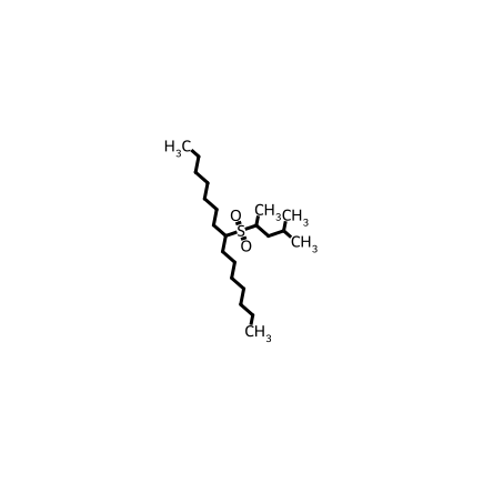 CCCCCCCC(CCCCCCC)S(=O)(=O)C(C)CC(C)C